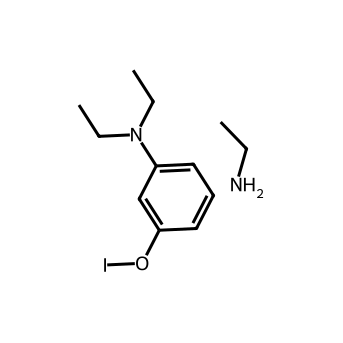 CCN.CCN(CC)c1cccc(OI)c1